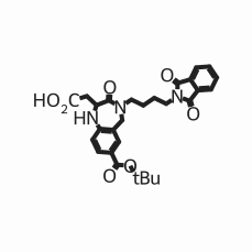 CC(C)(C)OC(=O)c1ccc2c(c1)CN(CCCCN1C(=O)c3ccccc3C1=O)C(=O)C(CC(=O)O)N2